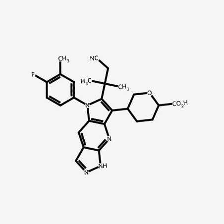 Cc1cc(-n2c(C(C)(C)CC#N)c(C3CCC(C(=O)O)OC3)c3nc4[nH]ncc4cc32)ccc1F